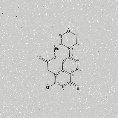 CC(C)(C)OC(=O)Cn1c(Cl)nc(=O)c2ncc(N3CCOCC3)cc21